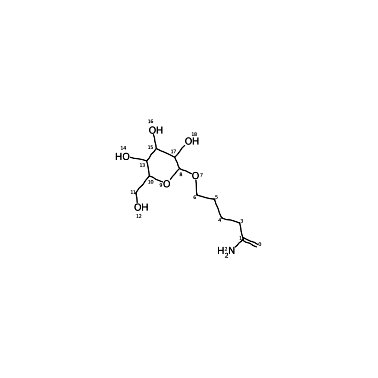 C=C(N)CCCCOC1OC(CO)C(O)C(O)C1O